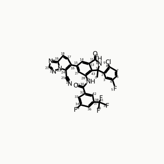 CC1(c2cc(F)ccc2Cl)NC(=O)c2cc(-c3ccc4ncnn4c3C#N)cc(NC(=O)c3cc(F)cc(C(F)(F)F)c3)c21